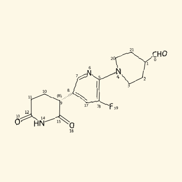 O=CC1CCN(c2ncc([C@H]3CCC(=O)NC3=O)cc2F)CC1